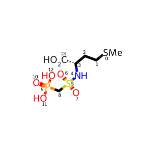 CSCC[C@H](NS(=O)(=O)CP(=O)(O)O)C(=O)O